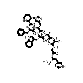 CC(C)[C@H](NC(=O)[C@H](C)NC(=O)[C@H](Cc1c[nH]c2ccccc12)NC(=O)[C@H](Cc1c[nH]cn1)NC(=O)[C@@H](Cc1ccccc1)NC(=O)[C@@H]1CCCCN1)C(=O)NCC(=O)N[C@@H](Cc1c[nH]cn1)C(=O)O